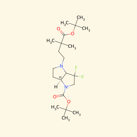 CC(C)(C)OC(=O)N1CC(F)(F)C2[C@@H]1CCN2CCC(C)(C)C(=O)OC(C)(C)C